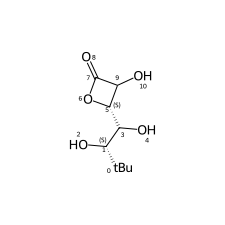 CC(C)(C)[C@H](O)C(O)[C@@H]1OC(=O)C1O